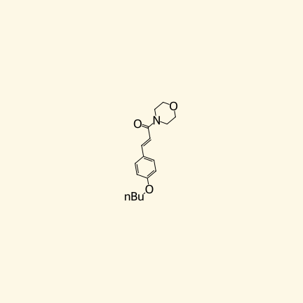 CCCCOc1ccc(/C=C/C(=O)N2CCOCC2)cc1